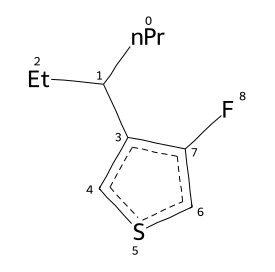 CCCC(CC)c1cscc1F